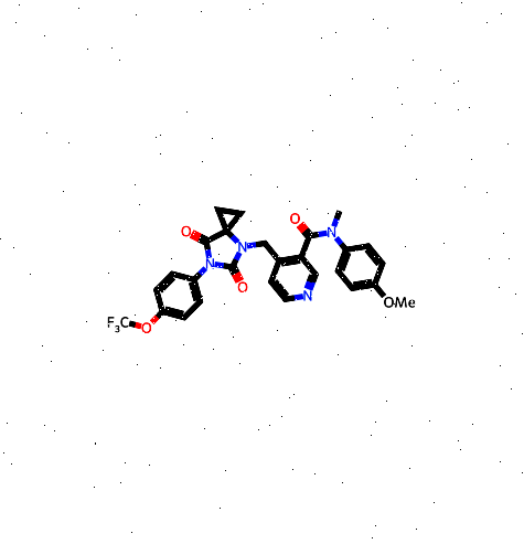 COc1ccc(N(C)C(=O)c2cnccc2CN2C(=O)N(c3ccc(OC(F)(F)F)cc3)C(=O)C23CC3)cc1